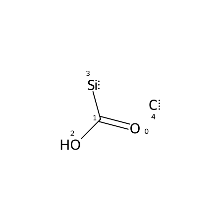 O=C(O)[Si].[C]